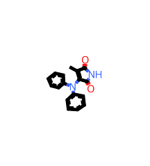 CC1=C(N(c2ccccc2)c2ccccc2)C(=O)NC1=O